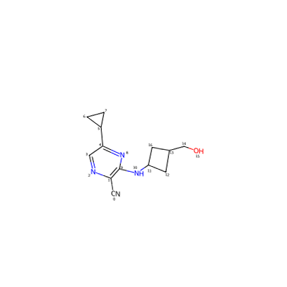 N#Cc1ncc(C2CC2)nc1NC1CC(CO)C1